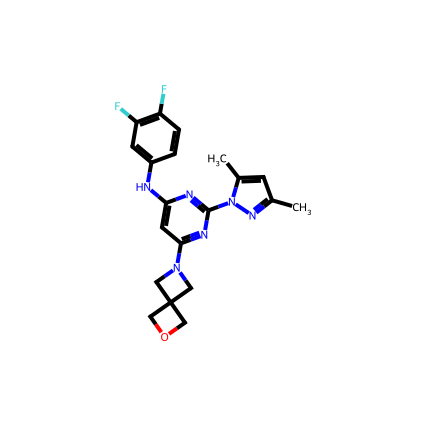 Cc1cc(C)n(-c2nc(Nc3ccc(F)c(F)c3)cc(N3CC4(COC4)C3)n2)n1